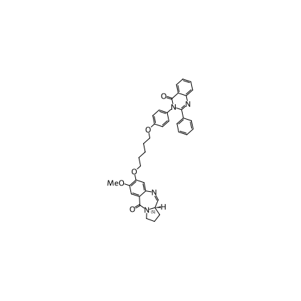 COc1cc2c(cc1OCCCCCOc1ccc(-n3c(-c4ccccc4)nc4ccccc4c3=O)cc1)N=C[C@@H]1CCCN1C2=O